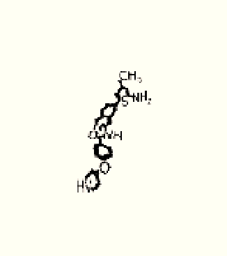 CCC1C=C(N)SC(c2ccc3cnc(NC(=O)c4ccc(OC5CCNCC5)cc4)cc3c2)=C1